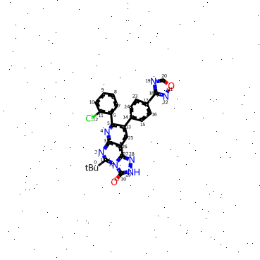 CC(C)(C)c1nc2nc(-c3ccccc3Cl)c(-c3ccc(-c4ncon4)cc3)cc2c2n[nH]c(=O)n12